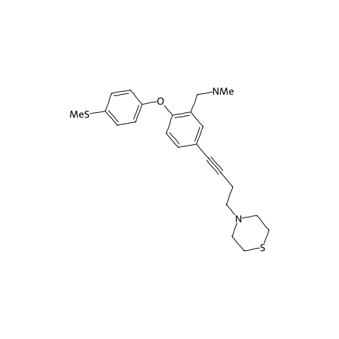 CNCc1cc(C#CCCN2CCSCC2)ccc1Oc1ccc(SC)cc1